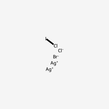 ClI.[Ag+].[Ag+].[Br-].[Cl-]